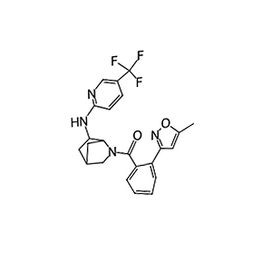 Cc1cc(-c2ccccc2C(=O)N2CC3CC(Nc4ccc(C(F)(F)F)cn4)C2C3)no1